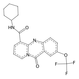 O=C(NC1CCCCC1)c1cccn2c(=O)c3cc(OC(F)(F)F)ccc3nc12